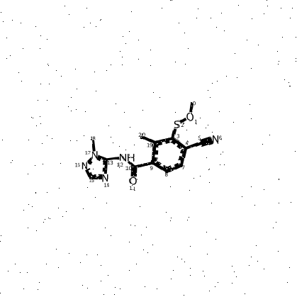 COSc1c(C#N)ccc(C(=O)Nc2ncnn2C)c1C